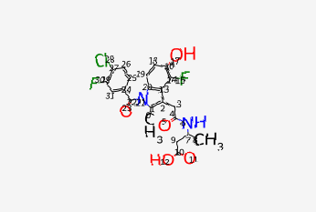 Cc1c(CC(=O)NC(C)CC(=O)O)c2c(F)c(O)ccc2n1C(=O)c1ccc(Cl)c(F)c1